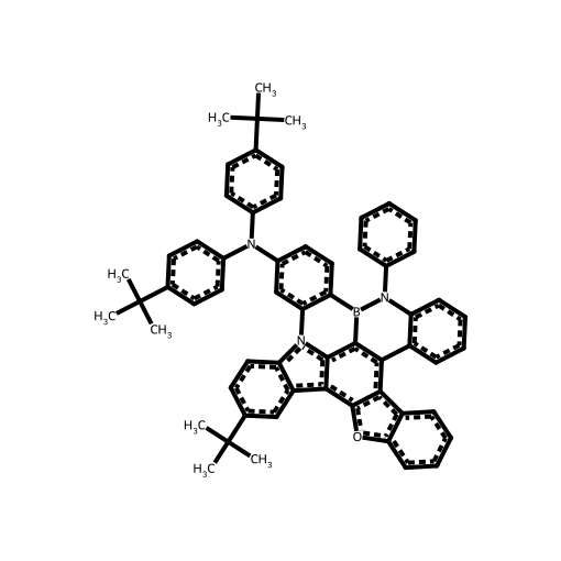 CC(C)(C)c1ccc(N(c2ccc(C(C)(C)C)cc2)c2ccc3c(c2)-n2c4ccc(C(C)(C)C)cc4c4c5oc6ccccc6c5c5c(c42)B3N(c2ccccc2)c2ccccc2-5)cc1